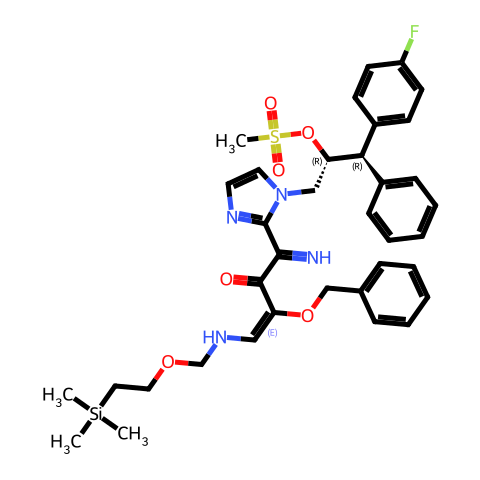 C[Si](C)(C)CCOCN/C=C(/OCc1ccccc1)C(=O)C(=N)c1nccn1C[C@H](OS(C)(=O)=O)[C@H](c1ccccc1)c1ccc(F)cc1